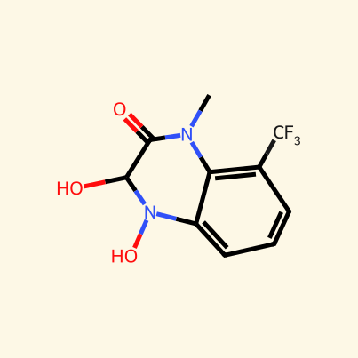 CN1C(=O)C(O)N(O)c2cccc(C(F)(F)F)c21